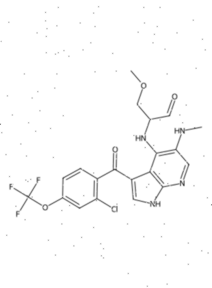 CNc1cnc2[nH]cc(C(=O)c3ccc(OC(F)(F)F)cc3Cl)c2c1NC(C=O)COC